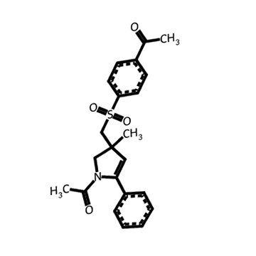 CC(=O)c1ccc(S(=O)(=O)CC2(C)C=C(c3ccccc3)N(C(C)=O)C2)cc1